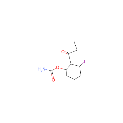 CCC(=O)C1C(I)CCCC1OC(N)=O